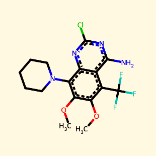 COc1c(OC)c(C(F)(F)F)c2c(N)nc(Cl)nc2c1N1CCCCC1